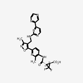 Cc1nc(-c2onc(C)c2CNc2nccc(-c3cnccn3)n2)ccc1NC(=O)[C@@H]1[C@@H](C(=O)O)C1(F)F